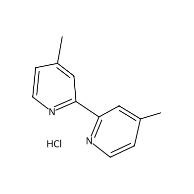 Cc1ccnc(-c2cc(C)ccn2)c1.Cl